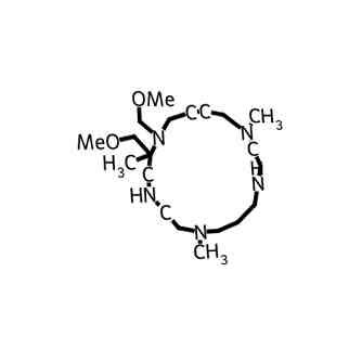 COCN1CCCCN(C)CCNCCCN(C)CCNCC1(C)COC